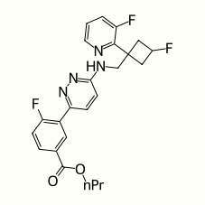 CCCOC(=O)c1ccc(F)c(-c2ccc(NCC3(c4ncccc4F)CC(F)C3)nn2)c1